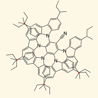 CCC(C)c1ccc2c(c1)c1cc(C(C)CC)ccc1n2-c1c(C#N)c(-n2c3ccc(C(C)CC)cc3c3cc(C(C)CC)ccc32)c(-n2c3ccc(C(C)CC)cc3c3cc(C(C)CC)ccc32)c(-n2c3ccc(C(C)CC)cc3c3cc(C(C)CC)ccc32)c1-n1c2ccc(C(C)CC)cc2c2cc(C(C)CC)ccc21